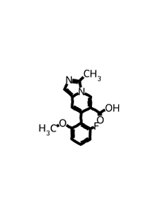 COc1cccc(F)c1-c1cc2cnc(C)n2cc1C(=O)O